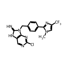 Cn1cc(C(F)(F)F)nc1-c1ccc(Cn2c(=N)[nH]c3cnc(Cl)nc32)cc1